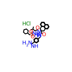 CC(C)[C@@H](NS(=O)(=O)CC1CCCCC1)C(=O)NC1(C(=O)NCc2ccc(C(=N)N)cc2)Cc2cccc3cccc(c23)C1.Cl